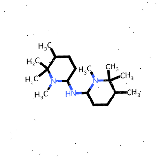 CC1CCC(NC2CCC(C)C(C)(C)N2C)N(C)C1(C)C